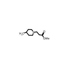 COC(=O)CCN1CCC(C)CC1